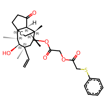 C=C[C@]1(C)CC(OC(=O)COC(=O)CSc2ccccc2)[C@]2(C)[C@H](C)CC[C@]3(CCC(=O)[C@H]32)[C@@H](C)[C@@H]1O